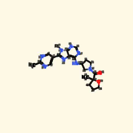 CCn1c(-c2cnc(C)nc2)nc2c(N[C@H]3CCN(C(=O)C4(C)CCCO4)C3)ncnc21